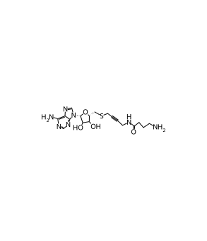 NCCCC(=O)NCC#CCSC[C@H]1O[C@@H](n2cnc3c(N)ncnc32)C(O)C1O